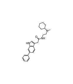 CN(CCNC(=O)Cc1c[nH]c2cc(-c3ccccc3)ccc12)C1CCCCC1